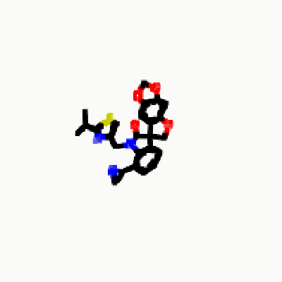 CC(C)c1nc(CN2C(=O)C3(COc4cc5c(cc43)OCO5)c3cccc(C4C=N4)c32)cs1